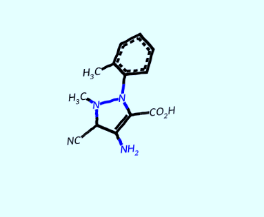 Cc1ccccc1N1C(C(=O)O)=C(N)C(C#N)N1C